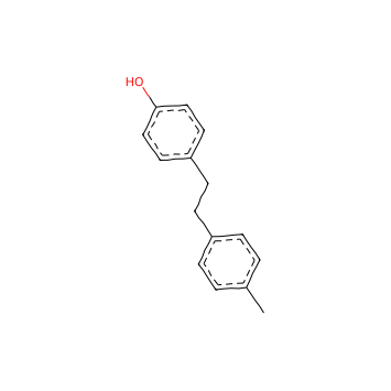 Cc1ccc(CCc2ccc(O)cc2)cc1